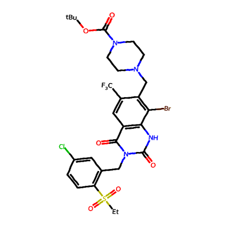 CCS(=O)(=O)c1ccc(Cl)cc1Cn1c(=O)[nH]c2c(Br)c(CN3CCN(C(=O)OC(C)(C)C)CC3)c(C(F)(F)F)cc2c1=O